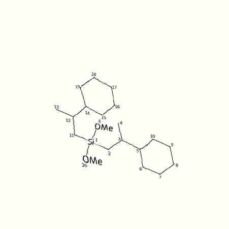 CO[Si](CC(C)C1CCCCC1)(CC(C)C1CCCCC1)OC